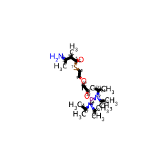 CC(N)C(C)C(=O)SCCOCCOP(N(C(C)C)C(C)C)N(C(C)C)C(C)C